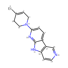 CCC1=CCN(c2ccc3c(n2)[nH]c2ccncc23)CC1